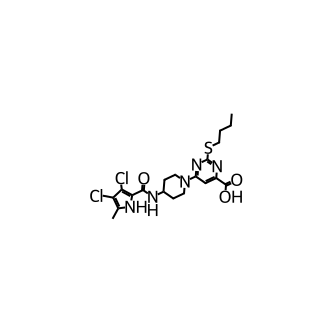 CCCCSc1nc(C(=O)O)cc(N2CCC(NC(=O)c3[nH]c(C)c(Cl)c3Cl)CC2)n1